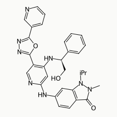 CC(C)n1c2cc(Nc3cc(N[C@H](CO)c4ccccc4)c(-c4nnc(-c5cccnc5)o4)cn3)ccc2c(=O)n1C